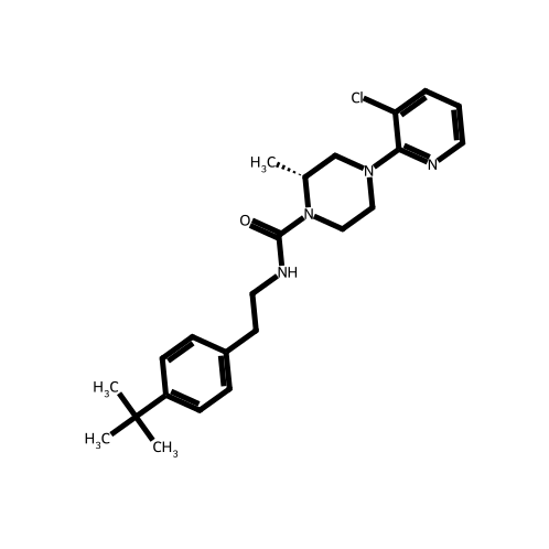 C[C@@H]1CN(c2ncccc2Cl)CCN1C(=O)NCCc1ccc(C(C)(C)C)cc1